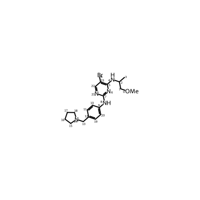 COCC(C)Nc1nc(Nc2ccc(CN3CCCC3)cc2)ncc1Br